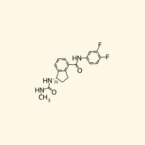 CNC(=O)N[C@H]1CCc2c(C(=O)Nc3ccc(F)c(F)c3)cccc21